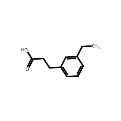 CCc1cccc(CCC(=O)O)c1